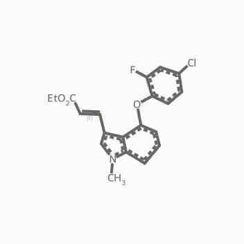 CCOC(=O)/C=C/c1cn(C)c2cccc(Oc3ccc(Cl)cc3F)c12